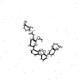 COc1nc(-c2cccc(-c3cccc(-c4ccc5c(c4)CCCNC5)c3Cl)c2Cl)ccc1CNC[C@@H]1CCC(=O)N1